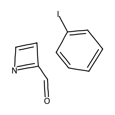 Ic1ccccc1.O=CC1=NC=C1